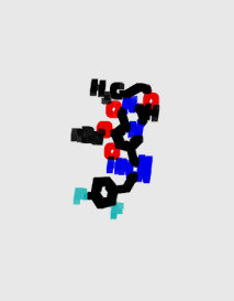 CCCCOc1c2n(cc(-c3nnc(Cc4ccc(F)cc4F)[nH]3)c1=O)C[C@@H]1OCC[C@@H](C)N1C2=O